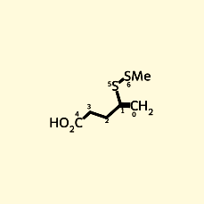 C=C(CCC(=O)O)SSC